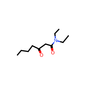 CCCCC(=O)CC(=O)N(CC)CC